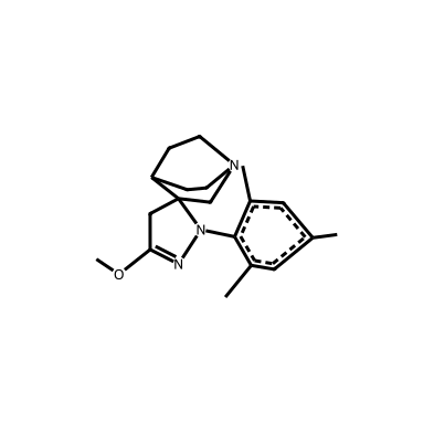 COC1=NN(c2c(C)cc(C)cc2C)C2(C1)CN1CCC2CC1